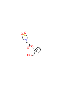 O=C(CCN1CCS(=O)(=O)CC1)OCC12CC3CC(CC(CO)(C3)C1)C2